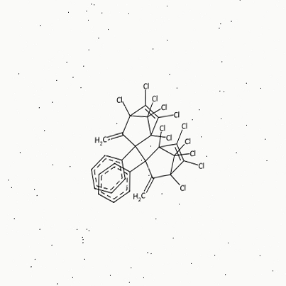 C=C1C2(Cl)C(Cl)=C(Cl)C(Cl)(C2(Cl)Cl)C1(c1ccccc1)C1(c2ccccc2)C(=C)C2(Cl)C(Cl)=C(Cl)C1(Cl)C2(Cl)Cl